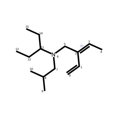 C=C/C(=C\C)CN(CC(C)C)C(CC)CC